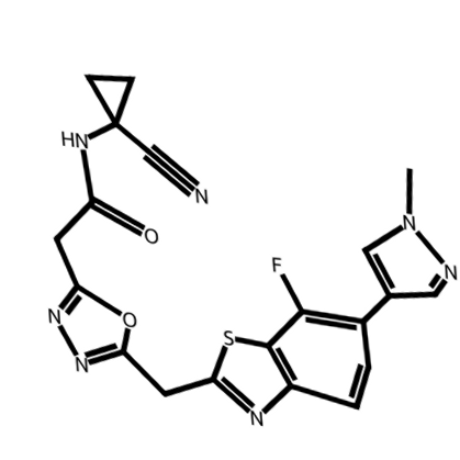 Cn1cc(-c2ccc3nc(Cc4nnc(CC(=O)NC5(C#N)CC5)o4)sc3c2F)cn1